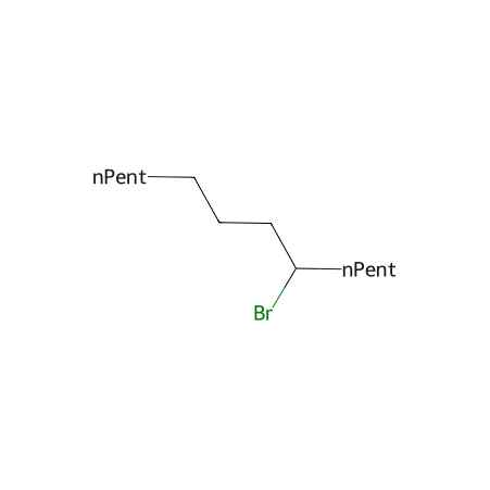 CCCCCCCCC(Br)CCCCC